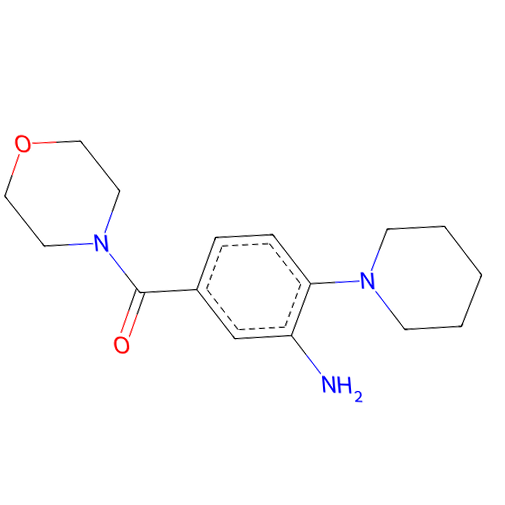 Nc1cc(C(=O)N2CCOCC2)ccc1N1CCCCC1